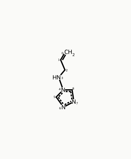 C=CCNn1cnnc1